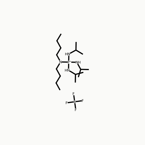 CCCCN(CCCC)[P+](NC(C)C)(NC(C)C)NC(C)C.F[B-](F)(F)F